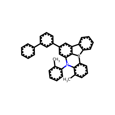 Cc1ccccc1N1c2cc(-c3cccc(-c4ccccc4)c3)cc3c2B(c2ccccc2-3)c2cccc(C)c21